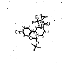 C[C@@H]1CN(C(=O)OC(C)(C)C)C(c2ccc(Cl)cc2)CN1C(=O)C1(C(F)(F)F)CC1